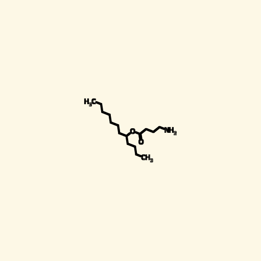 CCCCCCCC(CCCC)OC(=O)CCCN